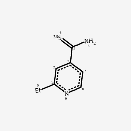 CCc1cc(C(N)=[33S])ccn1